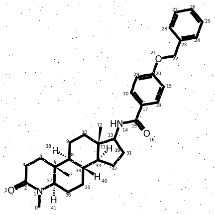 CN1C(=O)CC[C@]2(C)[C@H]3CC[C@]4(C)C(NC(=O)c5ccc(OCc6ccccc6)cc5)CC[C@H]4[C@@H]3CC[C@@H]12